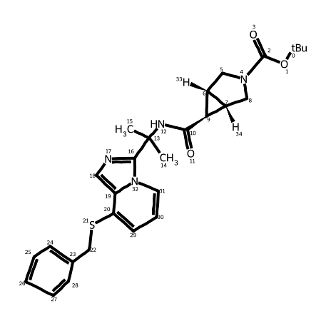 CC(C)(C)OC(=O)N1C[C@@H]2[C@H](C1)[C@H]2C(=O)NC(C)(C)c1ncc2c(SCc3ccccc3)cccn12